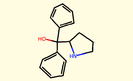 OC(c1ccccc1)(c1ccccc1)C1C[CH]CN1